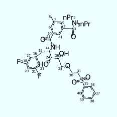 CCCN(CCC)C(=O)c1cc(C)cc(C(=O)N[C@@H](Cc2cc(F)cc(F)c2)[C@H](O)[C@H](O)COCCS(=O)(=O)c2ccccc2)c1